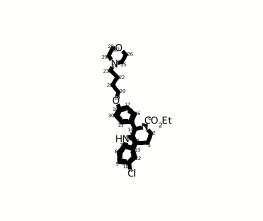 CCOC(=O)N1CCc2c([nH]c3ccc(Cl)cc23)C1c1ccc(OCCCCN2CCOCC2)cc1